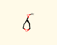 CC(=O)OC1CCOCC1